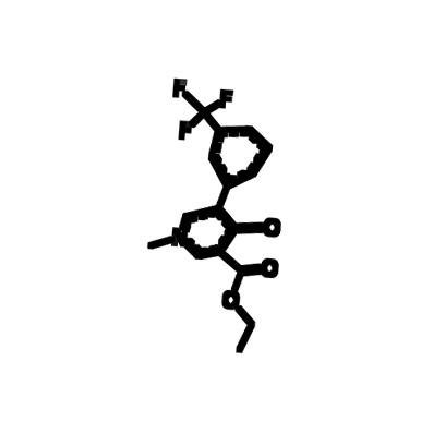 CCOC(=O)c1cn(C)cc(-c2cccc(C(F)(F)F)c2)c1=O